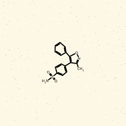 Cc1noc(-c2ccccc2)c1-c1ccc(S(N)(=O)=O)cc1